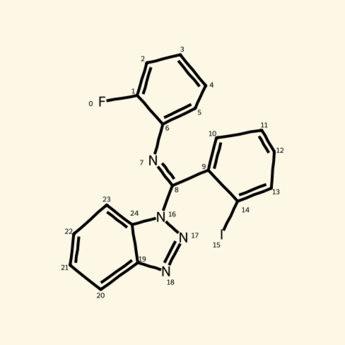 Fc1ccccc1/N=C(\c1ccccc1I)n1nnc2ccccc21